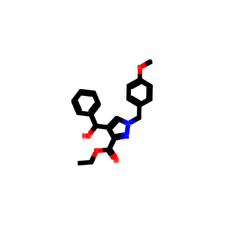 CCOC(=O)c1nn(Cc2ccc(OC)cc2)cc1C(O)c1ccccc1